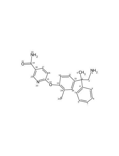 CC(CN)(c1ccccc1)c1ccc(Oc2ccc(C(N)=O)cn2)c(F)c1